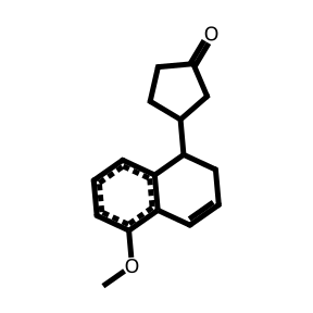 COc1cccc2c1C=CCC2C1CCC(=O)C1